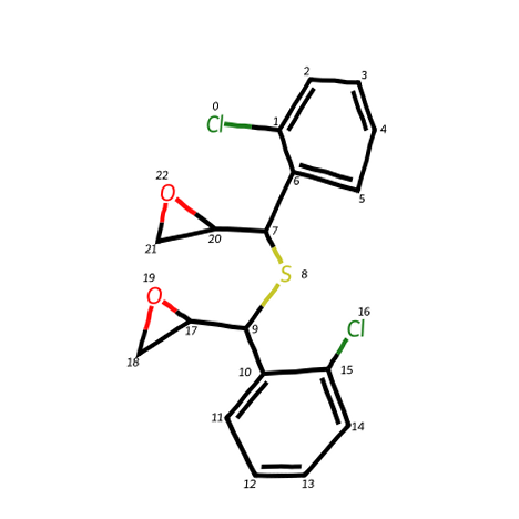 Clc1ccccc1C(SC(c1ccccc1Cl)C1CO1)C1CO1